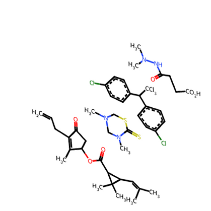 C=CCC1=C(C)C(OC(=O)C2C(C=C(C)C)C2(C)C)CC1=O.CN(C)NC(=O)CCC(=O)O.CN1CSC(=S)N(C)C1.Clc1ccc(C(c2ccc(Cl)cc2)C(Cl)(Cl)Cl)cc1